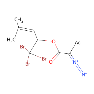 CC(=O)C(=[N+]=[N-])C(=O)OC(C=C(C)C)C(Br)(Br)Br